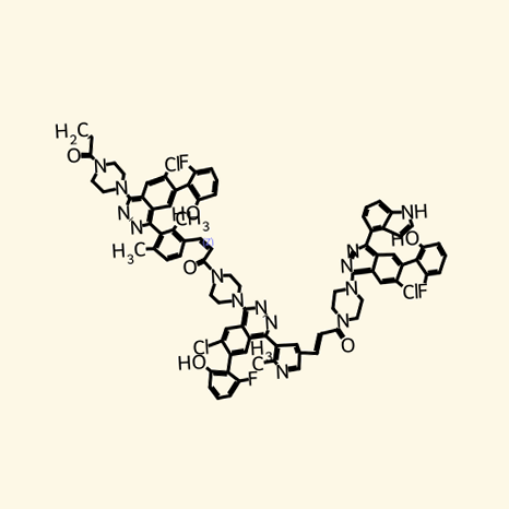 C=CC(=O)N1CCN(c2nnc(-c3c(C)ccc(/C=C\C(=O)N4CCN(c5nnc(-c6cc(C=CC(=O)N7CCN(c8nnc(-c9cccc%10[nH]ccc9%10)c9cc(-c%10c(O)cccc%10F)c(Cl)cc89)CC7)cnc6C)c6cc(-c7c(O)cccc7F)c(Cl)cc56)CC4)c3C)c3cc(-c4c(O)cccc4F)c(Cl)cc23)CC1